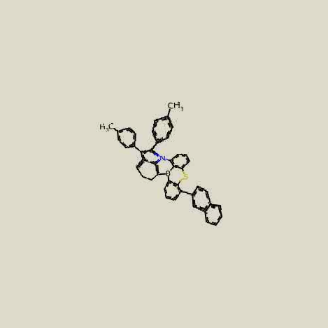 Cc1ccc(-c2c(-c3ccc(C)cc3)n3c4c2=CCCC=4B2c4cccc(-c5ccc6ccccc6c5)c4Sc4cccc-3c42)cc1